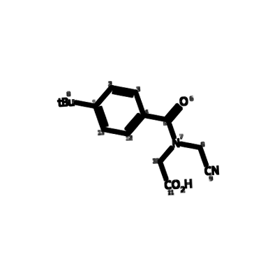 CC(C)(C)c1ccc(C(=O)N(CC#N)CC(=O)O)cc1